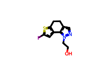 OCCn1ncc2c1-c1cc(I)sc1CC2